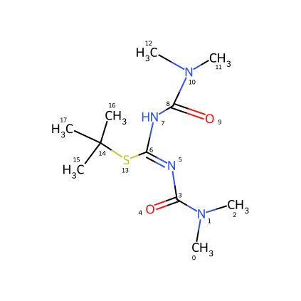 CN(C)C(=O)N=C(NC(=O)N(C)C)SC(C)(C)C